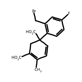 CC1=C(C(=O)O)CC(C(=O)O)(c2ccc(F)cc2CBr)C=C1